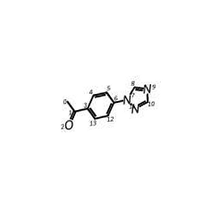 CC(=O)c1ccc(-n2cncn2)cc1